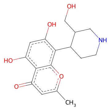 Cc1cc(=O)c2c(O)cc(O)c(C3CCNCC3CO)c2o1